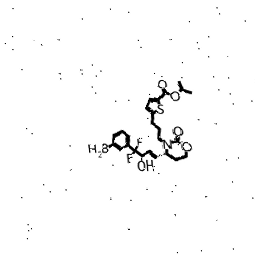 Bc1cccc(C(F)(F)[C@H](O)/C=C/[C@H]2CCOC(=O)N2CCCc2ccc(C(=O)OC(C)C)s2)c1